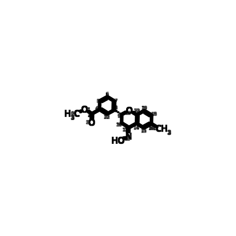 COC(=O)c1cccc([C@H]2CC(=NO)c3cc(C)ccc3O2)c1